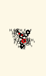 C[C@@H]([C@@H](C)[C@H](C)Cl)[C@H](C)[C@@H](c1cc(N(C)S(C)(=O)=O)nn1CC(F)(F)F)C1C([C@H](Cc2cc(F)cc(F)c2)NC(=O)Cn2nc(C(F)(F)F)c3c2C(F)(F)[C@@H]2C[C@H]32)=NC1C#CC(C)(C)S(C)(=O)=O